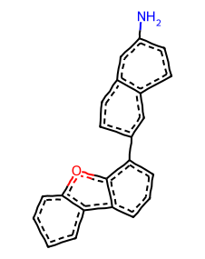 Nc1ccc2cc(-c3cccc4c3oc3ccccc34)ccc2c1